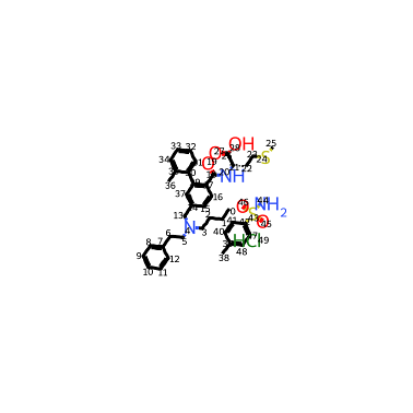 CCCCN(CCc1ccccc1)Cc1ccc(C(=O)N[C@@H](CCSC)C(=O)O)c(-c2ccccc2C)c1.Cc1ccc(S(N)(=O)=O)cc1.Cl